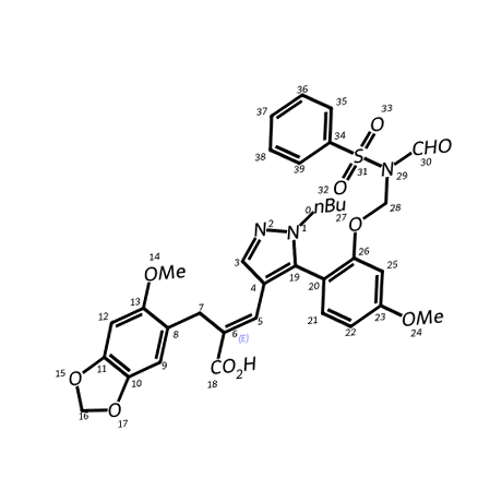 CCCCn1ncc(/C=C(\Cc2cc3c(cc2OC)OCO3)C(=O)O)c1-c1ccc(OC)cc1OCN(C=O)S(=O)(=O)c1ccccc1